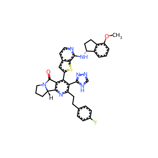 COc1cccc2c1CC[C@H]2Nc1nccc2cc(-c3c4c(nc(CCc5ccc(F)cc5)c3-c3nnc[nH]3)[C@@H]3CCCN3C4=O)sc12